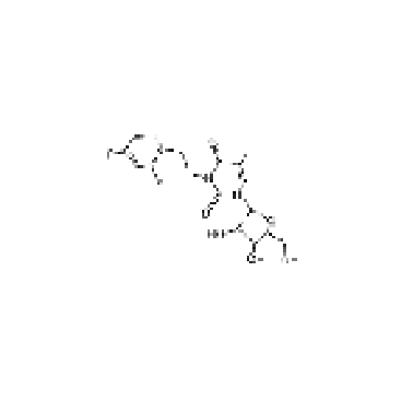 Cc1cn(C2OC(CO)C(O)C2O)c(=O)n(CCc2ccc(F)cc2F)c1=O